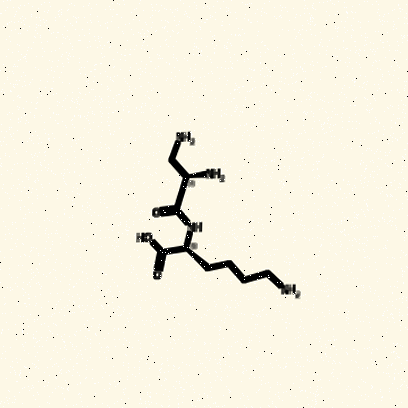 NCCCC[C@H](NC(=O)[C@H](N)CN)C(=O)O